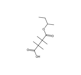 CCC(C)OC(=O)C(C)(C)C(C)(C)C(=O)O